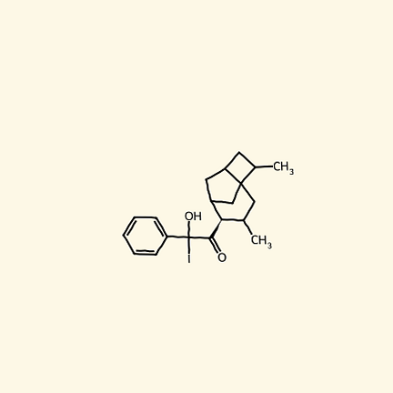 CC1CC23CC(CC2CC3C)[C@@H]1C(=O)C(O)(I)c1ccccc1